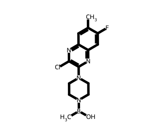 CB(O)N1CCN(c2nc3cc(F)c(C)cc3nc2Cl)CC1